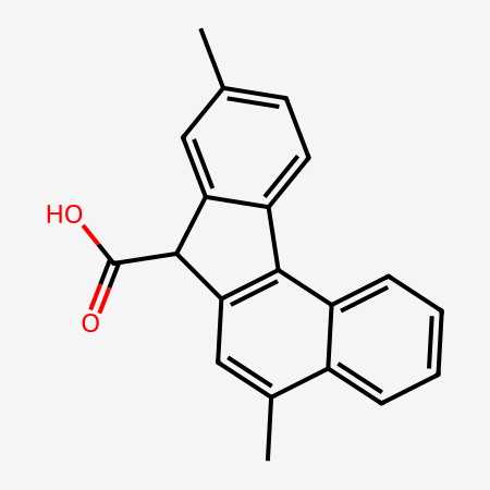 Cc1ccc2c(c1)C(C(=O)O)c1cc(C)c3ccccc3c1-2